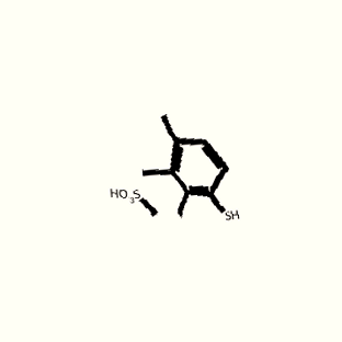 CS(=O)(=O)O.Cc1ccc(S)c(C)c1C